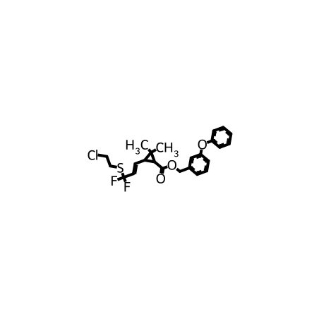 CC1(C)C(C=CC(F)(F)SCCCl)C1C(=O)OCc1cccc(Oc2ccccc2)c1